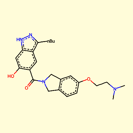 CCCCc1n[nH]c2cc(O)c(C(=O)N3Cc4ccc(OCCN(C)C)cc4C3)cc12